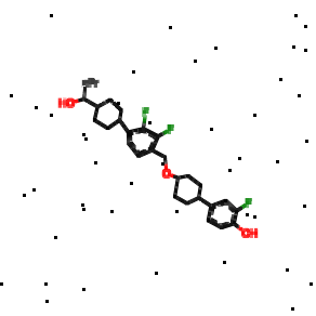 CCCC(O)C1CCC(c2ccc(COC3CCC(c4ccc(O)c(F)c4)CC3)c(F)c2F)CC1